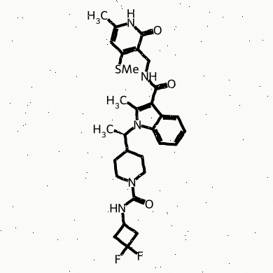 CSc1cc(C)[nH]c(=O)c1CNC(=O)c1c(C)n([C@H](C)C2CCN(C(=O)NC3CC(F)(F)C3)CC2)c2ccccc12